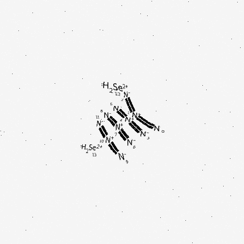 [N-]=[N+]=[N-].[N-]=[N+]=[N-].[N-]=[N+]=[N-].[N-]=[N+]=[N-].[SeH2+2].[SeH2+2]